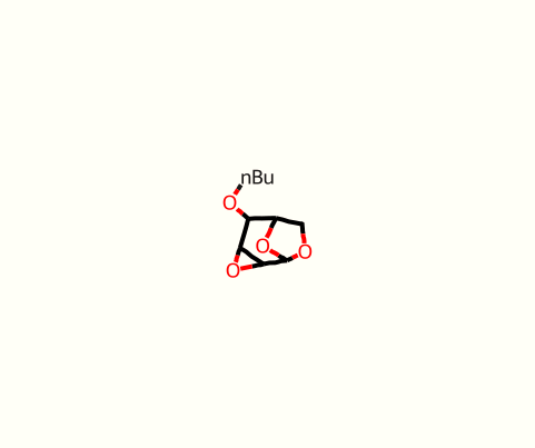 CCCCOC1C2COC(O2)C2OC12